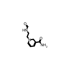 NC(=O)C1=CC=CN(CCN[C]=O)C1